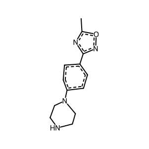 Cc1nc(-c2ccc(N3CCNCC3)cc2)no1